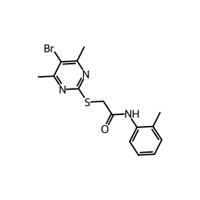 Cc1ccccc1NC(=O)CSc1nc(C)c(Br)c(C)n1